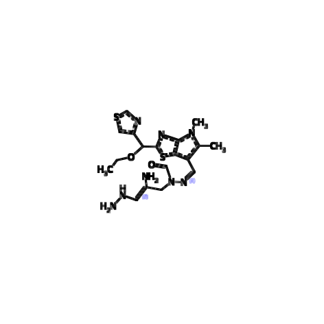 CCOC(c1cscn1)c1nc2c(s1)c(/C=N\N(C=O)C/C(N)=C/NN)c(C)n2C